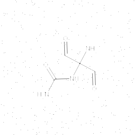 NC(=O)NC(N)([C]=O)C=O